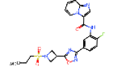 COCCS(=O)(=O)N1CC(c2nc(-c3ccc(F)c(NC(=O)c4cnc5ccccn45)c3)no2)C1